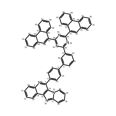 c1cc(-c2ccc(-c3nc4ccccc4c4nc5ccccn5c34)cc2)cc(-c2nc(-c3cc4ccccc4c4ccccc34)nc(-c3cc4ccccc4c4ccccc34)n2)c1